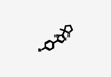 CC1(c2ncc(-c3ccc(Br)cc3)[nH]2)CCCN1